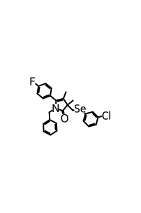 CC1=C(c2ccc(F)cc2)N(Cc2ccccc2)C(=O)C1(C)C[Se]c1cccc(Cl)c1